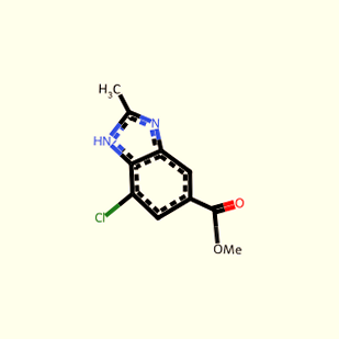 COC(=O)c1cc(Cl)c2[nH]c(C)nc2c1